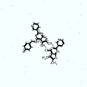 Cc1sc2nc(-c3cccnc3)nc(Cl)c2c1C.Cc1sc2nc(-c3cccnc3)nc(NCc3ccc(F)cc3)c2c1C